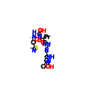 Cc1ncsc1-c1ccc([C@H](C)NC(=O)[C@@H]2C[C@@H](O)CN2C(=O)[C@H](c2cc(N(C)CCN3CC(c4cc5cc(-c6ccccc6O)nnc5[nH]4)C3)no2)C(C)C)cc1